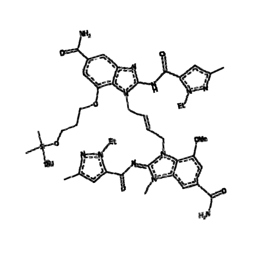 CCn1nc(C)cc1C(=O)/N=c1\n(C)c2cc(C(N)=O)cc(OC)c2n1C/C=C/Cn1c(NC(=O)c2cc(C)nn2CC)nc2cc(C(N)=O)cc(OCCCO[Si](C)(C)C(C)(C)C)c21